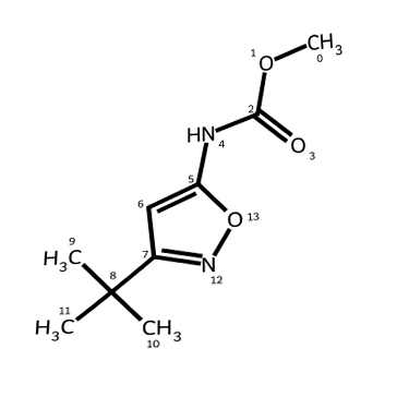 COC(=O)Nc1cc(C(C)(C)C)no1